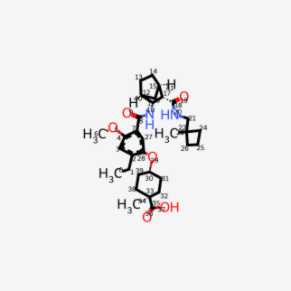 CCc1cc(OC)c(C(=O)N[C@@H]2[C@H]3CC[C@H](C3)[C@@H]2C(=O)NCC2(C)CCC2)cc1O[C@H]1CC[C@@](C)(C(=O)O)CC1